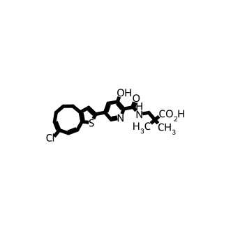 CC(C)(CNC(=O)c1ncc(-c2cc3c(s2)/C=C\C(Cl)=C/CCC3)cc1O)C(=O)O